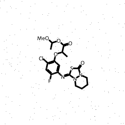 COC(C)OC(=O)C(C)Oc1cc(N=c2sc(=O)n3n2CCCC3)c(F)cc1Cl